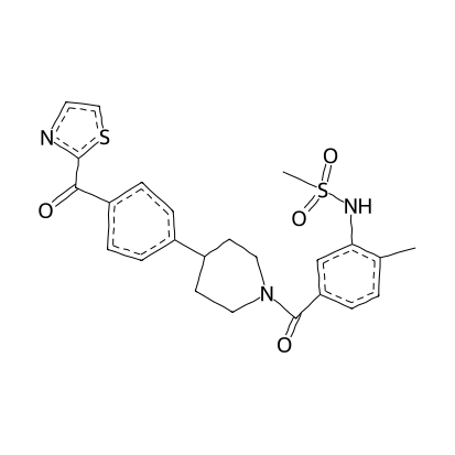 Cc1ccc(C(=O)N2CCC(c3ccc(C(=O)c4nccs4)cc3)CC2)cc1NS(C)(=O)=O